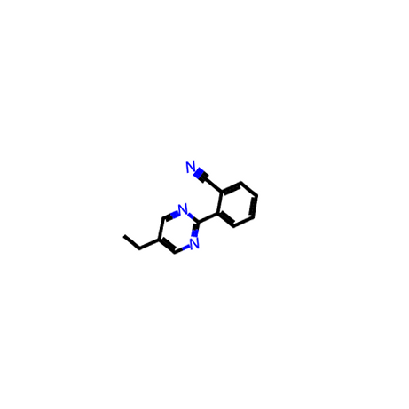 CCc1cnc(-c2ccccc2C#N)nc1